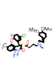 COc1ccc(CCN(C)CCCC(=O)CSc2c(-c3cc(Cl)ccc3O)c3cc(C(F)(F)F)ccc3[nH]c2=O)cc1OC